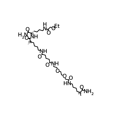 CCOCC(=O)NCCCC[C@H](NC(=O)[C@@H](C)CCCCNC(=O)CCCC(=O)NCCOCCOCC(=O)NCCCC[C@H](C)C(N)=O)C(N)=O